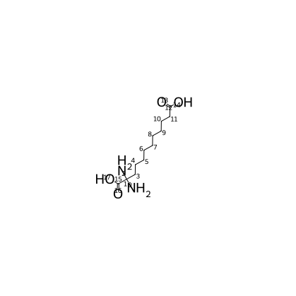 NC(N)(CCCCCCCCCC(=O)O)C(=O)O